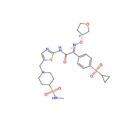 CNS(=O)(=O)C1CCN(Cc2cnc(NC(=O)/C(=N/O[C@@H]3CCOC3)c3ccc(S(=O)(=O)C4CC4)cc3)s2)CC1